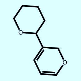 [CH]1OC=CC=C1C1CCCCO1